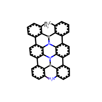 Cc1cccc2c1B1c3c(C)cccc3-c3ccc4c5c3N1c1c-2ccc2c1N5B(c1c(N)cccc1-2)c1c(I)cccc1-4